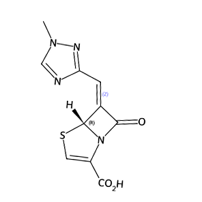 Cn1cnc(/C=C2/C(=O)N3C(C(=O)O)=CS[C@H]23)n1